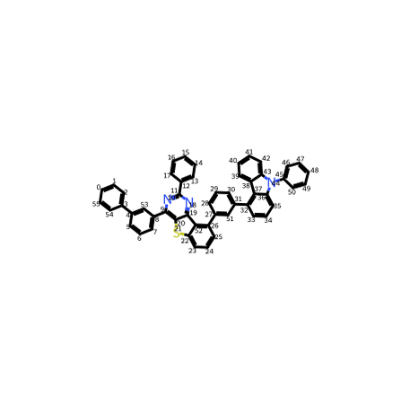 c1ccc(-c2cccc(-c3nc(-c4ccccc4)nc4c3sc3cccc(-c5cccc(-c6cccc7c6c6ccccc6n7-c6ccccc6)c5)c34)c2)cc1